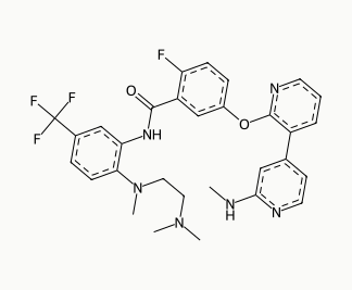 CNc1cc(-c2cccnc2Oc2ccc(F)c(C(=O)Nc3cc(C(F)(F)F)ccc3N(C)CCN(C)C)c2)ccn1